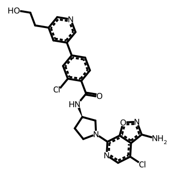 Nc1noc2c(N3CC[C@@H](NC(=O)c4ccc(-c5cncc(CCO)c5)cc4Cl)C3)ncc(Cl)c12